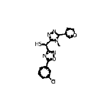 Cn1c(-c2ccoc2)nnc1C(S)c1noc(-c2cccc(Cl)c2)n1